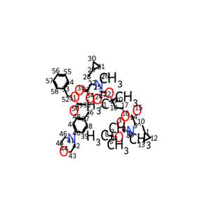 CN(C(=O)OC(C)(C)C)[C@@H](CC1CC1)C(=O)OCCC(C)(C)OC(=O)N(C)[C@@H](CC1CC1)C(=O)O[C@H](Cc1ccc(N2CCOCC2)cc1)C(=O)OCc1ccccc1